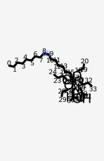 CCCCCCCC/C=C\CCCCCCC(OCCC)(OCCC)C(OCCC)(OCCC)N(CC(C)O)CC(C)O